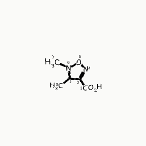 CC1C(C(=O)O)=NON1C